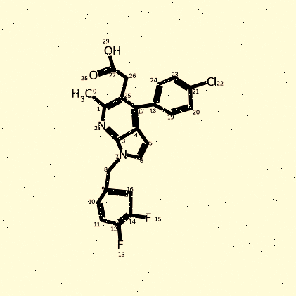 Cc1nc2c(ccn2Cc2ccc(F)c(F)c2)c(-c2ccc(Cl)cc2)c1CC(=O)O